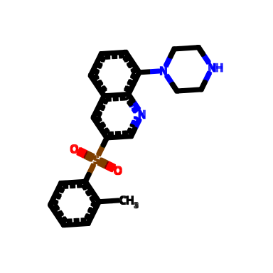 Cc1ccccc1S(=O)(=O)c1cnc2c(N3CCNCC3)cccc2c1